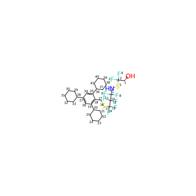 OCC(F)(F)SNC(F)(F)C(F)(F)C(F)(F)SCc1c(C2CCCCC2)cc(C2CCCCC2)cc1C1CCCCC1